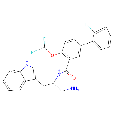 NCC(Cc1c[nH]c2ccccc12)NC(=O)c1cc(-c2ccccc2F)ccc1OC(F)F